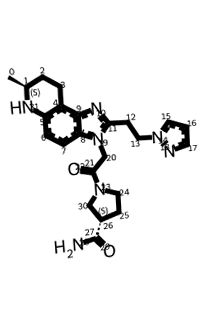 C[C@H]1CCc2c(ccc3c2nc(CCn2cccn2)n3CC(=O)N2CC[C@H](C(N)=O)C2)N1